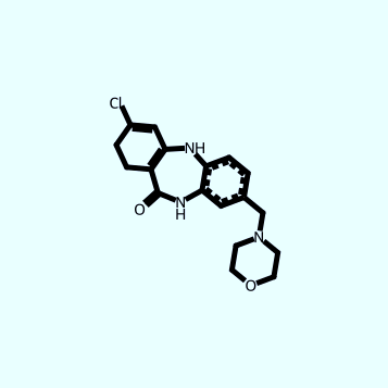 O=C1Nc2cc(CN3CCOCC3)ccc2NC2=C1CCC(Cl)=C2